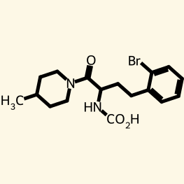 CC1CCN(C(=O)C(CCc2ccccc2Br)NC(=O)O)CC1